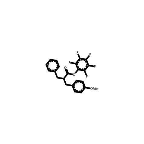 COc1ccc(CC(Cc2ccccc2)C(=O)Oc2c(F)c(F)c(F)c(F)c2F)cc1